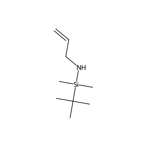 C=CCN[Si](C)(C)C(C)(C)C